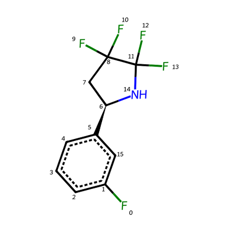 Fc1cccc([C@H]2CC(F)(F)C(F)(F)N2)c1